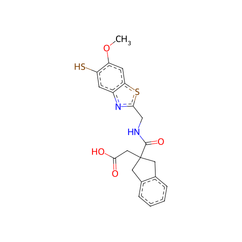 COc1cc2sc(CNC(=O)C3(CC(=O)O)Cc4ccccc4C3)nc2cc1S